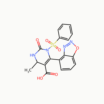 CC1NC(=O)N(S(=O)(=O)c2ccccc2)C(c2cccc3onnc23)=C1C(=O)O